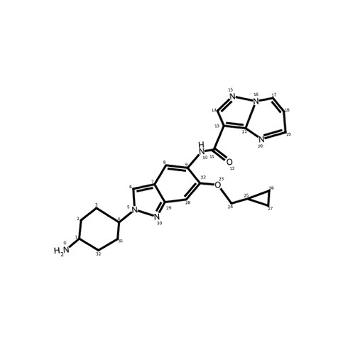 NC1CCC(n2cc3cc(NC(=O)c4cnn5cccnc45)c(OCC4CC4)cc3n2)CC1